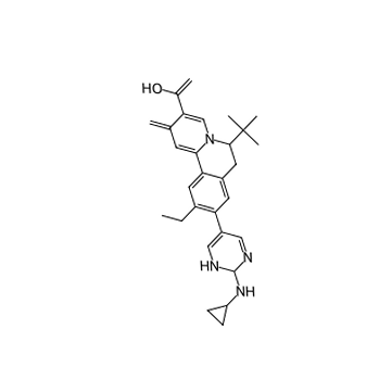 C=C(O)C1=CN2C(=CC1=C)c1cc(CC)c(C3=CNC(NC4CC4)N=C3)cc1CC2C(C)(C)C